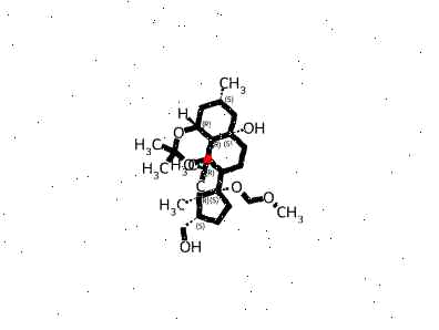 COCO[C@]12CC[C@H](CO)[C@@]1(C)C[C@@H](C)C1C2CC[C@]2(O)C[C@@H](C)C[C@H]3OC(C)(C)OC[C@]132